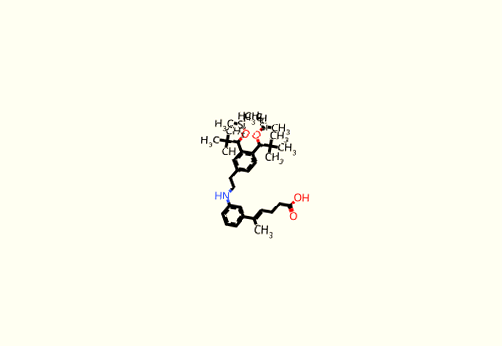 CC(=CCCC(=O)O)c1cccc(NCCc2ccc(C(O[SiH](C)C)C(C)(C)C)c(C(O[SiH](C)C)C(C)(C)C)c2)c1